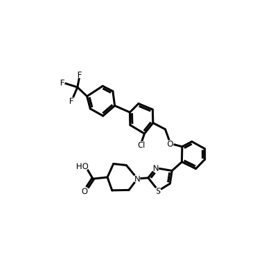 O=C(O)C1CCN(c2nc(-c3ccccc3OCc3ccc(-c4ccc(C(F)(F)F)cc4)cc3Cl)cs2)CC1